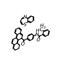 C1=CSc2ccccc2N=C1.Cc1ccccc1C(=O)Nc1ccc(C(=O)C2C=c3ccccc3=c3ccc4c(c32)CCCC=4)cc1